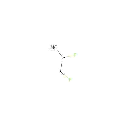 N#C[C](F)CF